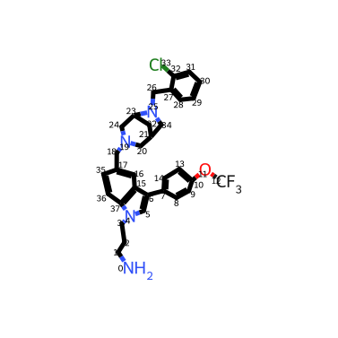 NCCCn1cc(-c2ccc(OC(F)(F)F)cc2)c2cc(CN3CC4CC(C3)N(Cc3ccccc3Cl)C4)ccc21